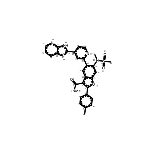 CNC(=O)c1c(-c2ccc(C)cc2)oc2cc(N(C)S(C)(=O)=O)c(-c3cc(-c4nc5cccnc5[nH]4)ccn3)cc12